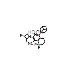 CC1C(F)CN1c1nc(N2CC3CC(C2)C3CC(=O)O)c2c(c1C#N)C(F)(F)CCC2